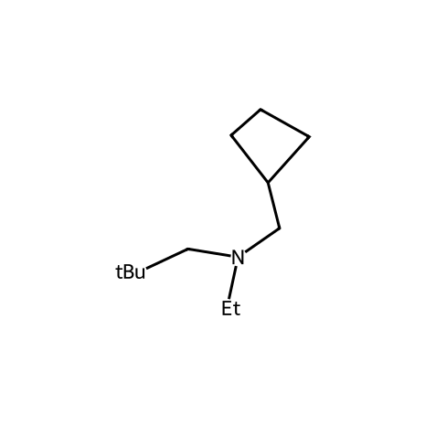 CCN(CC1CCC1)CC(C)(C)C